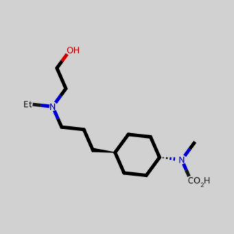 CCN(CCO)CCC[C@H]1CC[C@H](N(C)C(=O)O)CC1